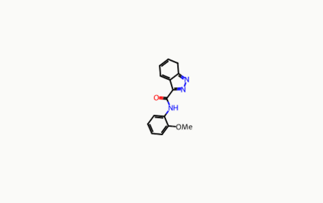 COc1ccccc1NC(=O)C1=NN=C2CC=CC=C21